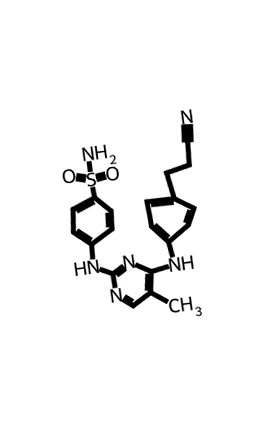 Cc1cnc(Nc2ccc(S(N)(=O)=O)cc2)nc1Nc1ccc(CCC#N)cc1